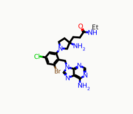 CCNC(=O)CCC1(N)CCN(c2cc(Cl)cc(Br)c2Cn2cnc3c(N)ncnc32)C1